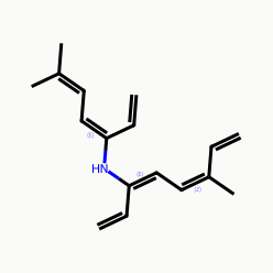 C=C/C(C)=C\C=C(/C=C)N/C(C=C)=C/C=C(C)C